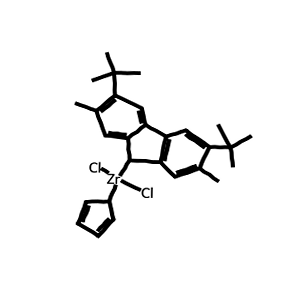 Cc1cc2c(cc1C(C)(C)C)-c1cc(C(C)(C)C)c(C)cc1[CH]2[Zr]([Cl])([Cl])[CH]1C=CC=C1